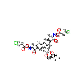 COCCC1(CCOC)c2cc3c(cc2-c2cc4c(cc21)C(=O)/C(=N/OC(=O)CCCl)C4)C/C(=N/OC(=O)CCCl)C3=O